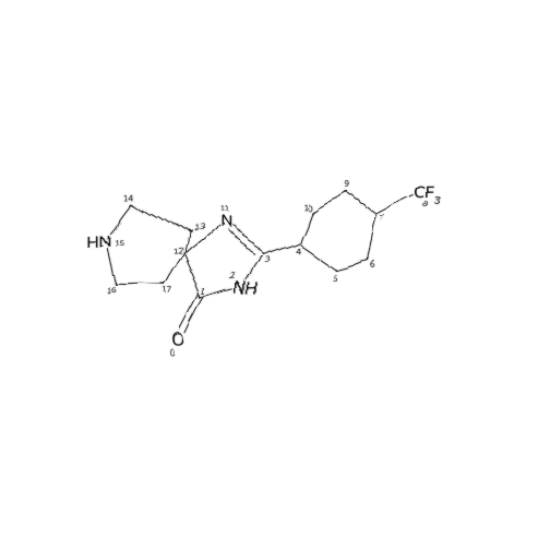 O=C1NC(C2CCC(C(F)(F)F)CC2)=NC12CCNCC2